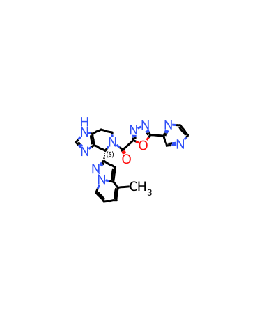 Cc1cccn2nc([C@@H]3c4nc[nH]c4CCN3C(=O)c3nnc(-c4cnccn4)o3)cc12